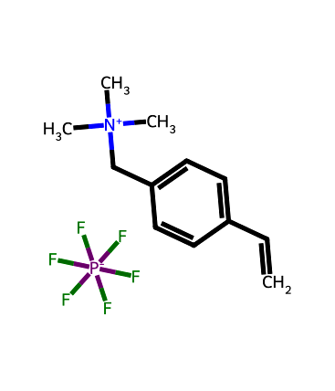 C=Cc1ccc(C[N+](C)(C)C)cc1.F[P-](F)(F)(F)(F)F